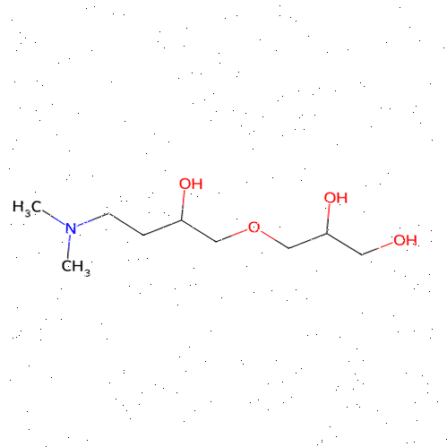 CN(C)CCC(O)COCC(O)CO